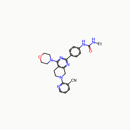 CCNC(=O)Nc1ccc(-c2nc3c(c(N4CCOCC4)n2)CCN(c2ncccc2C#N)C3)cc1